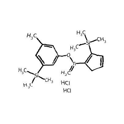 Cl.Cl.[CH2]=[Ti]([O]c1cc(C)cc([Si](C)(C)C)c1)[C]1=C([Si](C)(C)C)C=CC1